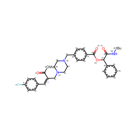 COC(=O)/C(=C\c1ccc(F)cc1)CN1CCN(Cc2ccc(C(=O)OC(C(=O)NC(C)(C)C)c3ccccc3)cc2)CC1